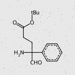 CC(C)(C)OC(=O)CCC(N)(C=O)c1ccccc1